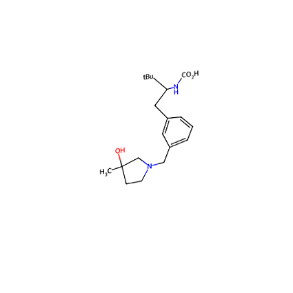 CC1(O)CCN(Cc2cccc(CC(NC(=O)O)C(C)(C)C)c2)C1